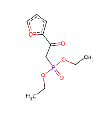 CCOP(=O)(CC(=O)c1ccco1)OCC